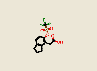 O=C(O)Cc1c(OS(=O)(=O)C(F)(F)F)ccc2c1CCC2